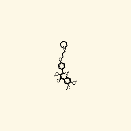 COc1cc2c(=O)c(OC)c(-c3ccc(OCCCN4CCCCC4)cc3)n(C)c2cc1OC